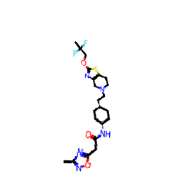 Cc1noc(CC(=O)N[C@H]2CC[C@H](CCN3CCc4sc(OCC(C)(F)F)nc4C3)CC2)n1